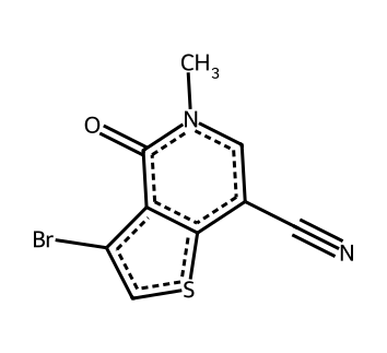 Cn1cc(C#N)c2scc(Br)c2c1=O